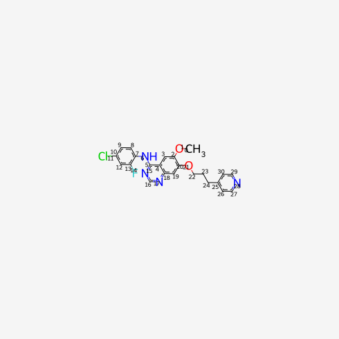 COc1cc2c(Nc3ccc(Cl)cc3F)ncnc2cc1OCCCc1ccncc1